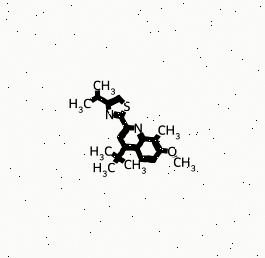 COc1ccc2c(C(C)(C)C)cc(-c3nc(C(C)C)cs3)nc2c1C